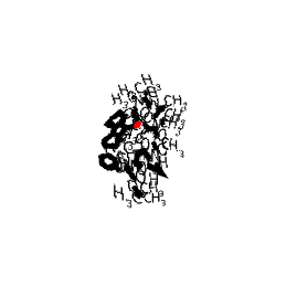 CC[C@H](C)[C@@H]([C@@H](CC(=O)N1[C@H]2C[C@H]2C[C@H]1[C@H](OC)[C@@H](C)C(=O)N[C@@H](Cc1ccccc1Cl)C(=O)OC(C)(C)C)OC)N(C)C(=O)[C@@H](NC(=O)[C@H](C(C)C)N(C)C1OC1OCC1c2ccccc2-c2ccccc21)C(C)C